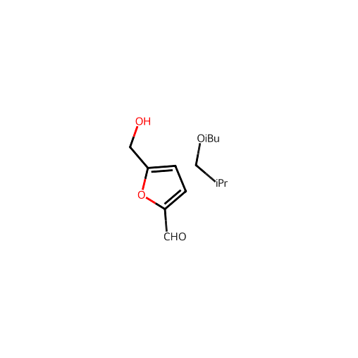 CC(C)COCC(C)C.O=Cc1ccc(CO)o1